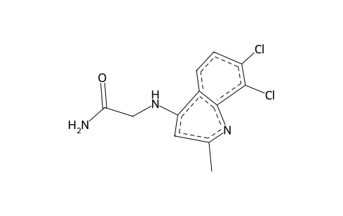 Cc1cc(NCC(N)=O)c2ccc(Cl)c(Cl)c2n1